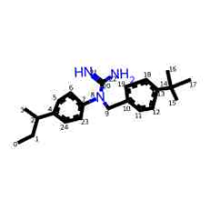 CCC(C)c1ccc(N(Cc2ccc(C(C)(C)C)cc2)C(=N)N)cc1